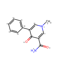 Cn1cc(C(N)=O)c(=O)c(-c2ccccc2)c1